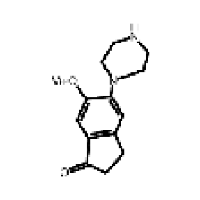 COc1cc2c(cc1N1CCNCC1)CCC2=O